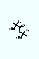 CCCCC(C)(CCC)SC(=O)C(C)(CC)CCCC